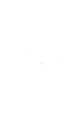 c1ccc(-c2ccc(N(c3ccc4ccc5ccc6oc7ccccc7c6c5c4c3)c3cccc4oc5ccccc5c34)cc2)cc1